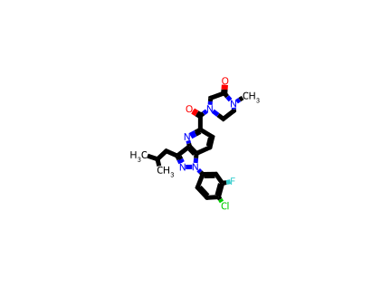 CC(C)Cc1nn(-c2ccc(Cl)c(F)c2)c2ccc(C(=O)N3CCN(C)C(=O)C3)nc12